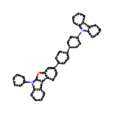 c1ccc(-n2c3ccccc3c3c4ccc(-c5ccc(-c6ccc(-n7c8ccccc8c8ccccc87)cc6)cc5)cc4oc32)cc1